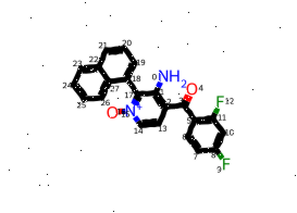 Nc1c(C(=O)c2ccc(F)cc2F)cc[n+]([O-])c1-c1cccc2ccccc12